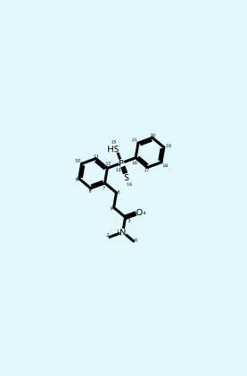 CN(C)C(=O)CCc1ccccc1P(=S)(S)c1ccccc1